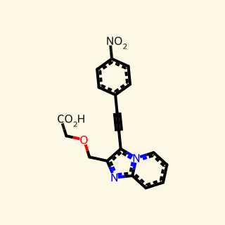 O=C(O)COCc1nc2ccccn2c1C#Cc1ccc([N+](=O)[O-])cc1